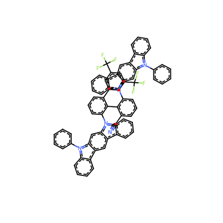 N#Cc1cccc(-n2c3ccccc3c3cc4c5ccccc5n(-c5ccccc5)c4cc32)c1-c1c(-c2cc(C(F)(F)F)cc(C(F)(F)F)c2)cccc1-n1c2ccccc2c2cc3c4ccccc4n(-c4ccccc4)c3cc21